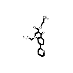 C=CCOC(=O)c1cn(CC)c2cc(-c3ccccn3)ccc2c1=O